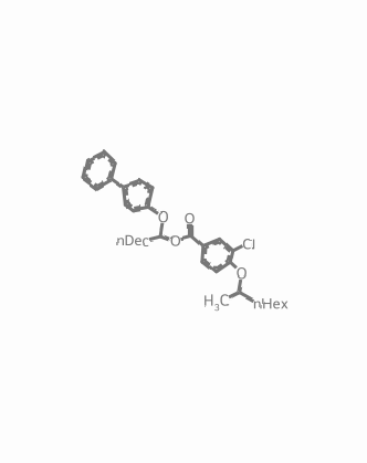 CCCCCCCCCCC(OC(=O)c1ccc(OC(C)CCCCCC)c(Cl)c1)Oc1ccc(-c2ccccc2)cc1